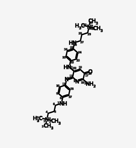 C[N+](C)(C)CCCNc1ccc(N=C2N=C(N)C(=O)C=C2Nc2ccc(NCCC[N+](C)(C)C)cc2)cc1